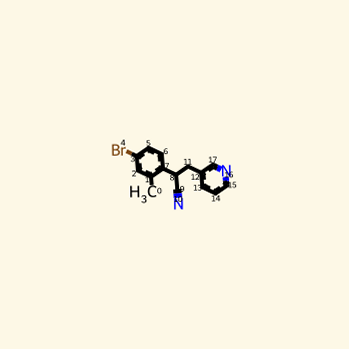 Cc1cc(Br)ccc1C(C#N)Cc1cccnc1